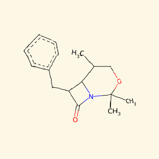 CC1COC(C)(C)N2C(=O)C(Cc3ccccc3)C12